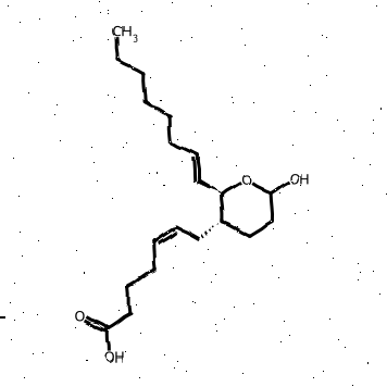 CCCCCC/C=C/[C@H]1OC(O)CC[C@@H]1C/C=C\CCCC(=O)O